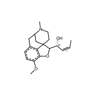 C/C=C\[C@@H](O)C1Oc2c(OC)ccc3c2C12CCN(C)C(C3)C2